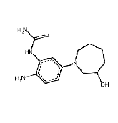 NC(=O)Nc1cc(N2CCCCC(O)C2)ccc1N